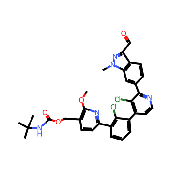 COc1nc(-c2cccc(-c3ccnc(-c4ccc5c(C=O)nn(C)c5c4)c3Cl)c2Cl)ccc1COC(=O)NC(C)(C)C